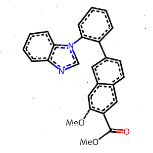 COC(=O)c1cc2ccc(-c3ccccc3-n3cnc4ccccc43)cc2cc1OC